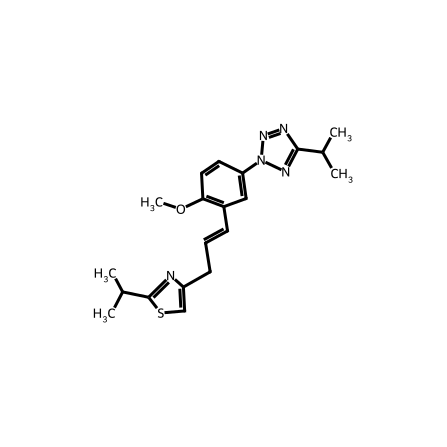 COc1ccc(-n2nnc(C(C)C)n2)cc1/C=C/Cc1csc(C(C)C)n1